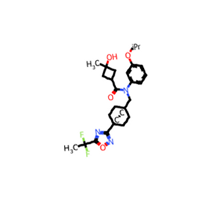 CC(C)Oc1cccc(N(CC23CCC(c4noc(C(C)(F)F)n4)(CC2)CC3)C(=O)C2CC(C)(O)C2)c1